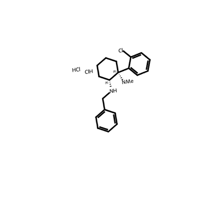 CN[C@@]1(c2ccccc2Cl)CCCC[C@H]1NCc1ccccc1.Cl.Cl